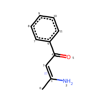 C/C(N)=C/C(=O)c1ccccc1